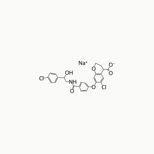 O=C(NCC(O)c1ccc(Cl)cc1)c1ccc(Oc2cc3c(cc2Cl)C(C(=O)[O-])CCO3)cc1.[Na+]